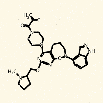 C=C(F)C(=O)N1CCN(c2nc(OCC3CCCN3C)nc3c2CCCN(c2cccc4[nH]ncc24)C3)CC1